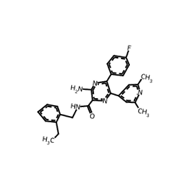 CCc1ccccc1CNC(=O)c1nc(-c2cc(C)nc(C)c2)c(-c2ccc(F)cc2)nc1N